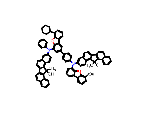 CC(C)(C)c1cccc2c1oc1c(N(c3ccc(-c4cc(N(c5ccccc5)c5ccc6c7c(ccc6c5)-c5ccc6ccccc6c5C7(C)C)c5oc6c(C7CCCCC7)cccc6c5c4)cc3)c3ccc4c5c(ccc4c3)-c3ccc4ccccc4c3C5(C)C)cccc12